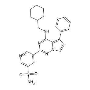 NS(=O)(=O)c1cncc(-c2nc(NCC3CCCCC3)c3c(-c4ccccc4)ccn3n2)c1